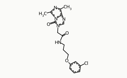 Cc1nc(C)n2c(=O)n(CC(=O)NCCCOc3cccc(Cl)c3)cnc12